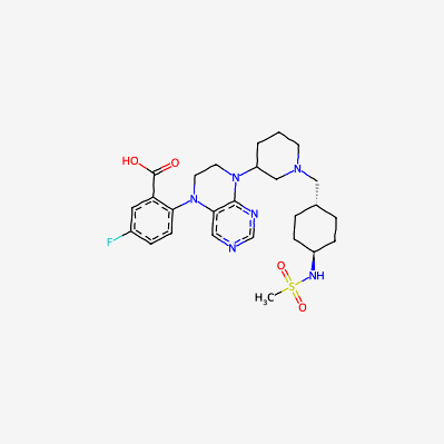 CS(=O)(=O)N[C@H]1CC[C@H](CN2CCCC(N3CCN(c4ccc(F)cc4C(=O)O)c4cncnc43)C2)CC1